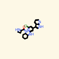 O=C(NC1CCCCC1Nc1cc(-c2c[nH]c3ncccc23)cc(Cl)n1)C1CCN1